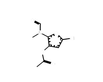 CC(=O)Oc1cc(Cl)oc1N(C)C=O